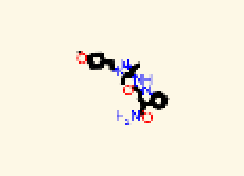 COc1ccc(CCn2nc(C)c(NC(=O)c3cc(C(N)=O)c4ccccc4n3)c2C)cc1